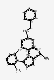 Cc1cccc(Cl)c1-c1ncc2c(N)nc3cc(NCc4ccccc4)ccc3n12